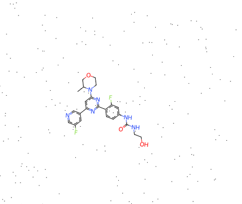 CC1COCCN1c1cc(-c2cncc(F)c2)nc(-c2ccc(NC(=O)NCCO)cc2F)n1